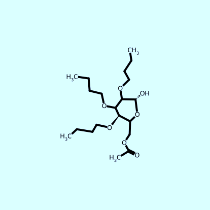 CCCCOC1C(OCCCC)[C@H](O)OC(COC(C)=O)[C@H]1OCCCC